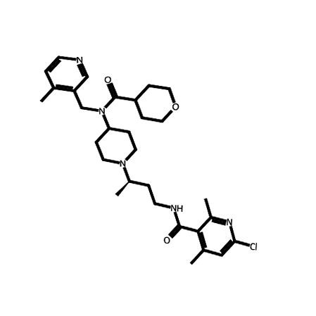 Cc1ccncc1CN(C(=O)C1CCOCC1)C1CCN([C@H](C)CCNC(=O)c2c(C)cc(Cl)nc2C)CC1